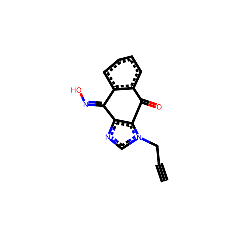 C#CCn1cnc2c1C(=O)c1ccccc1/C2=N\O